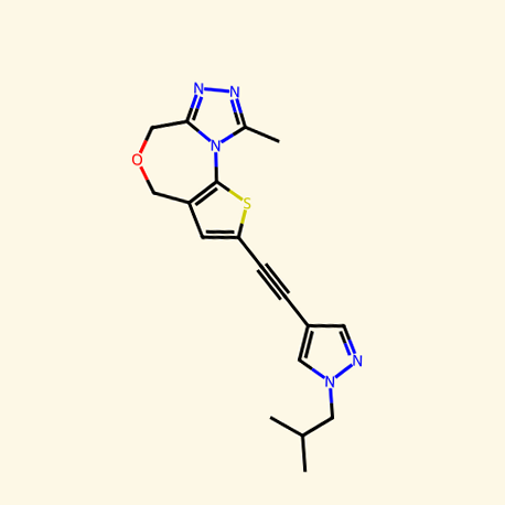 Cc1nnc2n1-c1sc(C#Cc3cnn(CC(C)C)c3)cc1COC2